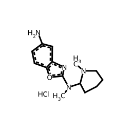 CN1CCCCC1N(C)c1nc2cc(N)ccc2o1.Cl